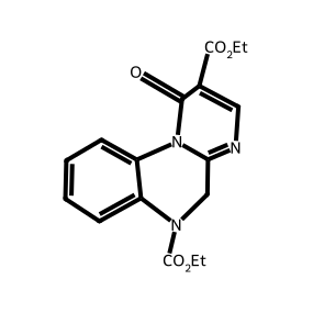 CCOC(=O)c1cnc2n(c1=O)-c1ccccc1N(C(=O)OCC)C2